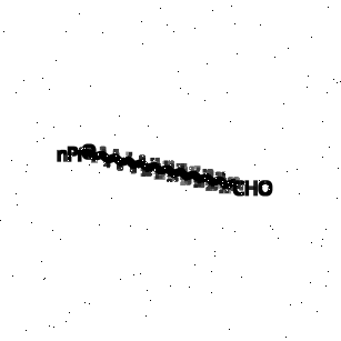 CCCOCCCCCCCCCCCCCCCCCCCCCCC=O